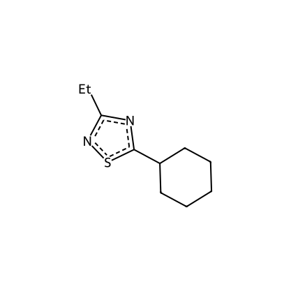 CCc1nsc(C2CCCCC2)n1